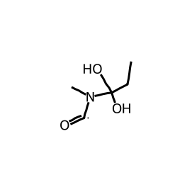 CCC(O)(O)N(C)[C]=O